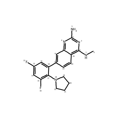 CNc1nc(N)nc2cc(-c3cc(F)cc(F)c3N3CCCC3)ccc12